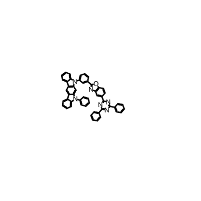 c1ccc(-c2nc(-c3ccccc3)nc(-c3ccc4oc(-c5cccc(-n6c7ccccc7c7cc8c9ccccc9n(-c9ccccc9)c8cc76)c5)nc4c3)n2)cc1